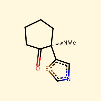 CN[C@@]1(c2cncs2)CCCCC1=O